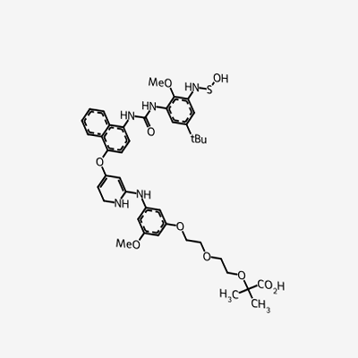 COc1cc(NC2=CC(Oc3ccc(NC(=O)Nc4cc(C(C)(C)C)cc(NSO)c4OC)c4ccccc34)=CCN2)cc(OCCOCCOC(C)(C)C(=O)O)c1